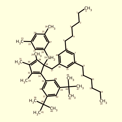 CCCCCCc1cc(CCCCCC)cc(CC2([SiH2]c3cc(C)cc(C)c3)C(C)=C(C)C(C)=C2c2cc(C(C)(C)C)cc(C(C)(C)C)c2)c1